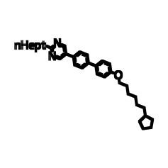 CCCCCCCc1ncc(-c2ccc(-c3ccc(OCCCCCCC4CCCC4)cc3)cc2)cn1